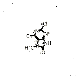 Cn1c(=O)[nH]c2nc(Cl)nc(Cl)c21